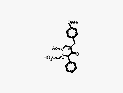 COc1ccc(C[C@H](CSC(C)=O)C(=O)C(NCC(=O)O)c2ccccc2)cc1